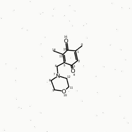 CC1=CC(=O)C(CN2CCOCC2)=C(C)C1=O